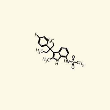 CCC(CC)(c1ccc(F)cc1)c1c(C)[nH]c2c(NS(C)(=O)=O)cccc12